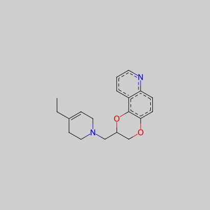 CCC1=CCN(CC2COc3ccc4ncccc4c3O2)CC1